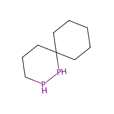 C1CCC2(CC1)CCCPP2